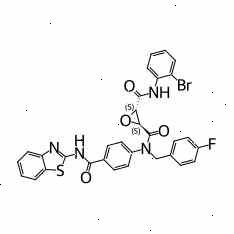 O=C(Nc1nc2ccccc2s1)c1ccc(N(Cc2ccc(F)cc2)C(=O)[C@H]2O[C@@H]2C(=O)Nc2ccccc2Br)cc1